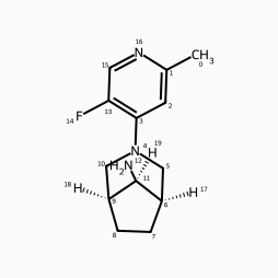 Cc1cc(N2C[C@H]3CC[C@@H](C2)[C@H]3N)c(F)cn1